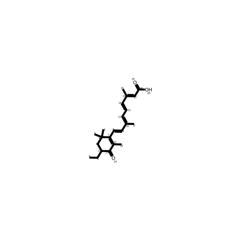 CCC1CC(C)(C)C(C=CC(C)=CC=CC(C)=CC(=O)O)=C(C)C1=O